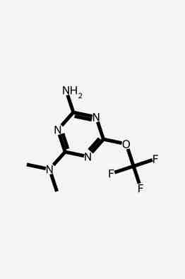 CN(C)c1nc(N)nc(OC(F)(F)F)n1